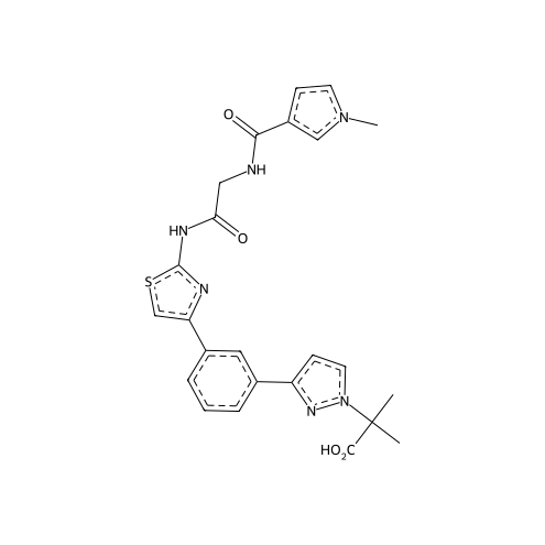 Cn1ccc(C(=O)NCC(=O)Nc2nc(-c3cccc(-c4ccn(C(C)(C)C(=O)O)n4)c3)cs2)c1